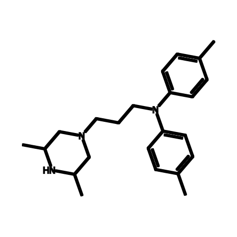 Cc1ccc(N(CCCN2CC(C)NC(C)C2)c2ccc(C)cc2)cc1